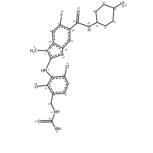 Cn1c(Nc2c(Cl)ccc(CNC(=O)C(C)(C)C)c2Cl)nc2cc(C(=O)NC3CCC(C(F)(F)F)CC3)c(F)cc21